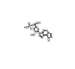 O=P(O)(O)C[C@H]1[C@@H](O)[C@H](n2cnc3c2=NCN2C=CNC=32)O[C@@H]1CO